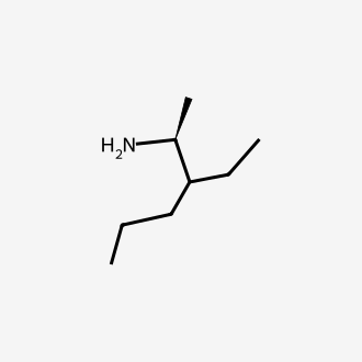 CCCC(CC)[C@H](C)N